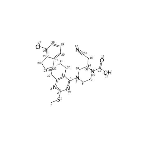 CSc1nc2c(c(N3CCN(C(=O)O)[C@@H](CC#N)C3)n1)CC[C@@]1(CCc3c(Cl)cccc31)C2